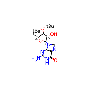 CC(C)(C)C[C@H]1O[C@@H](n2cnc3c(=O)[nH]c(N)nc32)[C@@H](O)C1OC(C)(C)C